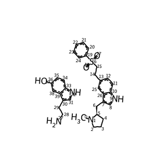 CN1CCC[C@@H]1Cc1c[nH]c2ccc(CCS(=O)(=O)c3ccccc3)cc12.NCCc1c[nH]c2ccc(O)cc12